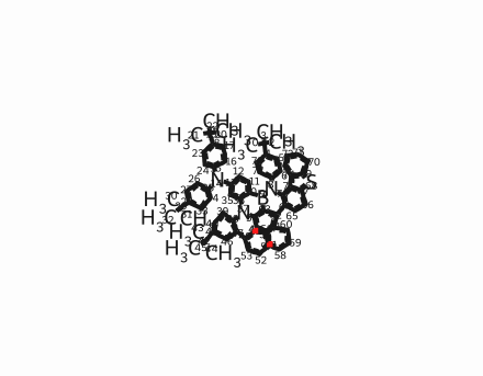 CC(C)(C)c1ccc(N2B3c4ccc(N(c5ccc(C(C)(C)C)cc5)c5ccc(C(C)(C)C)cc5)cc4N(c4ccc(C(C)(C)C)cc4-c4ccccc4)c4cc5ccccc5c(c43)-c3ccc4sc5ccccc5c4c32)cc1